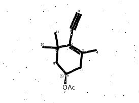 C#CC1=C(C)C[C@@H](OC(C)=O)CC1(C)C